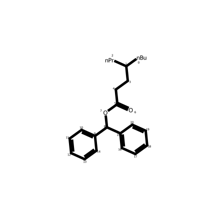 CCCCC(CCC)CCC(=O)OC(c1ccccc1)c1ccccc1